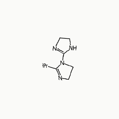 CC(C)C1=NCCN1C1=NCCN1